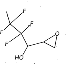 CC(F)(F)C(F)(F)C(O)C1CO1